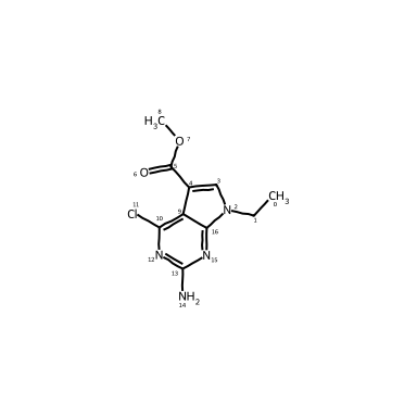 CCn1cc(C(=O)OC)c2c(Cl)nc(N)nc21